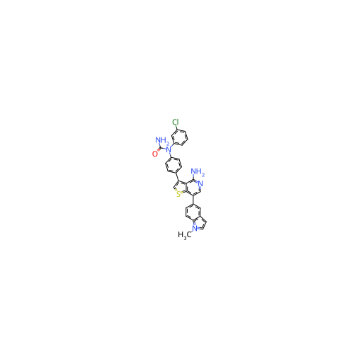 Cn1ccc2cc(-c3cnc(N)c4c(-c5ccc(N(C(N)=O)c6cccc(Cl)c6)cc5)csc34)ccc21